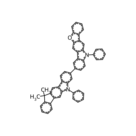 CC1(C)c2ccccc2-c2cc3c(cc21)c1ccc(-c2ccc4c(c2)c2cc5oc6ccccc6c5cc2n4-c2ccccc2)cc1n3-c1ccccc1